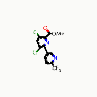 COC(=O)c1nc(-c2ccc(C(F)(F)F)nc2)c(Cl)cc1Cl